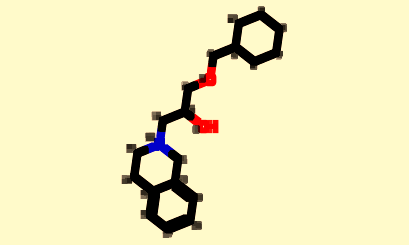 OC(COCC1CCCCC1)CN1CCc2ccccc2C1